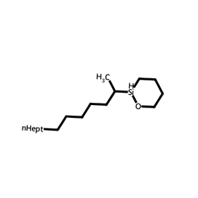 CCCCCCCCCCCCC(C)[SiH]1CCCCO1